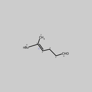 CCCC/C(C)=C/CCC=O